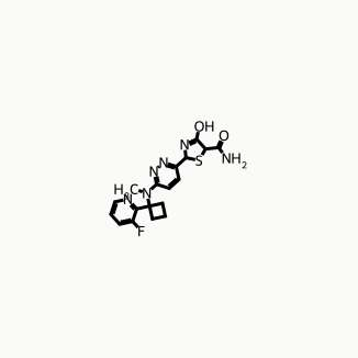 CN(c1ccc(C2N=C(O)C(C(N)=O)S2)nn1)C1(c2ncccc2F)CCC1